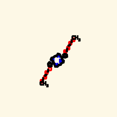 COCCOCCOCCOc1cccc(C2=C3C=CC(=N3)C=C3C=CC(=N3)C(c3cccc(OCCOCCOCCOC)c3)=C3C=CC(=N3)C=C3C=CC2=N3)c1